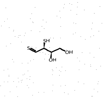 OC[C@@H](O)[C@H](S)C=S